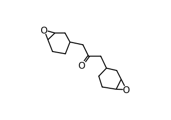 O=C(CC1CCC2OC2C1)CC1CCC2OC2C1